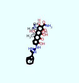 C[C@H]1c2ccc(Nc3nc(C4C5CC6CC7CC4C5(C6)C7)c[nH]3)c(O)c2C(=O)C2=C(O)[C@]3(O)C(=O)C(C(N)=O)=C(O)[C@@H](N(C)C)[C@@H]3[C@@H](O)[C@@H]21